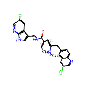 C=N/C(=C\C(=C/C)C(=O)NCc1c[nH]c2ncc(Cl)cc12)Cc1ccc2ncc(Cl)cc2c1